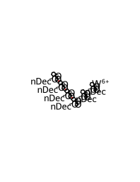 CCCCCCCCCCCCc1ccccc1S(=O)(=O)[O-].CCCCCCCCCCCCc1ccccc1S(=O)(=O)[O-].CCCCCCCCCCCCc1ccccc1S(=O)(=O)[O-].CCCCCCCCCCCCc1ccccc1S(=O)(=O)[O-].CCCCCCCCCCCCc1ccccc1S(=O)(=O)[O-].CCCCCCCCCCCCc1ccccc1S(=O)(=O)[O-].[W+6]